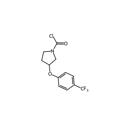 O=C(Cl)N1CCC(Oc2ccc(C(F)(F)F)cc2)C1